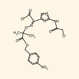 CC(C)(O/N=C(\C(=O)Cl)c1csc(NC(=O)CCl)n1)C(=O)OCc1ccc([N+](=O)[O-])cc1